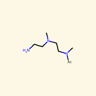 CC(=O)N(C)CCN(C)CCN